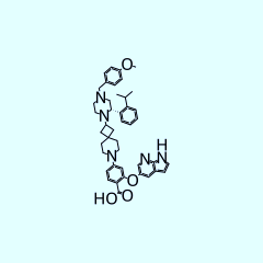 COc1ccc(CN2CCN(C3CC4(CCN(c5ccc(C(=O)O)c(Oc6cnc7[nH]ccc7c6)c5)CC4)C3)[C@@H](c3ccccc3C(C)C)C2)cc1